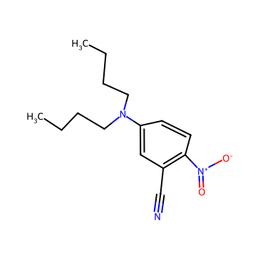 CCCCN(CCCC)c1ccc([N+](=O)[O-])c(C#N)c1